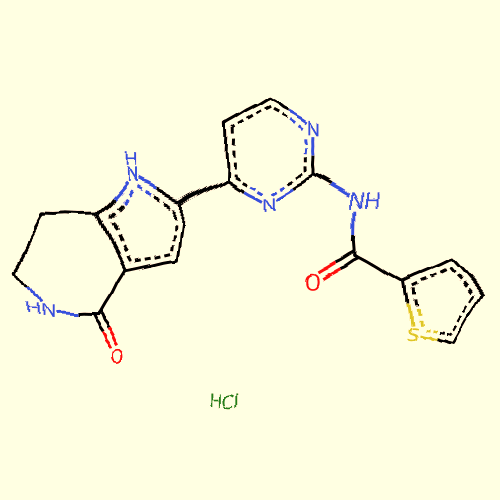 Cl.O=C(Nc1nccc(-c2cc3c([nH]2)CCNC3=O)n1)c1cccs1